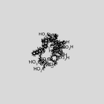 O=C(O)CCC(NC(=O)NC(CCCCNC(=O)C(Cc1ccc2ccccc2c1)NC(=O)C1CCC(CNC(=O)C(Cc2c[nH]cn2)NC(=O)C(CCC(=O)O)NC(=O)C(Cc2c[nH]cn2)NC(=O)C(CCC(=O)O)NC(=O)C(Cc2c[nH]cn2)NC(=O)C(CCC(=O)O)NC(=O)C(Cc2c[nH]cn2)NC(=O)C(CCC(=O)O)NC(=O)CN2CCN(CC(=O)O)CCN(CC(=O)O)CCN(CC(=O)O)CC2)CC1)C(=O)O)C(=O)O